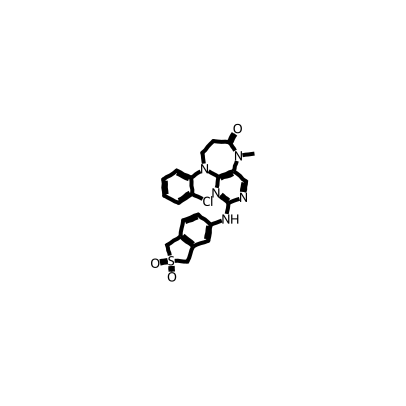 CN1C(=O)CCN(c2ccccc2Cl)c2nc(Nc3ccc4c(c3)CS(=O)(=O)C4)ncc21